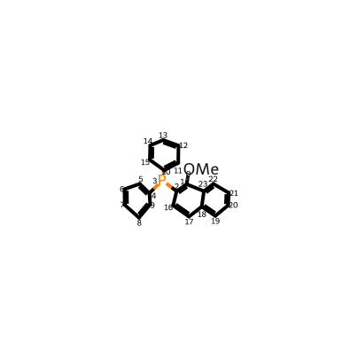 COc1c(P(c2ccccc2)c2ccccc2)ccc2ccccc12